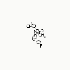 Cn1c(N2CCO[C@@H](c3ccc(F)cc3)C2)nc(-c2ccnc(Cl)c2)cc1=O